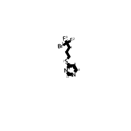 FC(F)(Br)CCCSc1ccncn1